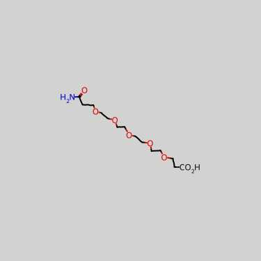 NC(=O)CCOCCOCCOCCOCCOCCC(=O)O